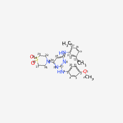 COc1ccc(Nc2nc(Nc3cc(C)ccc3C)cc(N3CCS(=O)(=O)CC3)n2)cc1